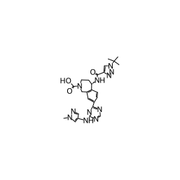 Cn1cc(Nc2ncnc(-c3ccc4c(c3)CN(C(=O)O)CC[C@H]4NC(=O)c3cn(C(C)(C)C)nn3)n2)cn1